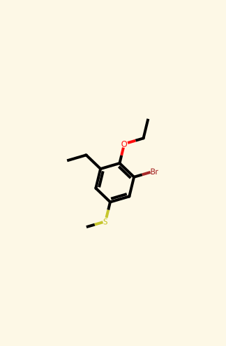 CCOc1c(Br)cc(SC)cc1CC